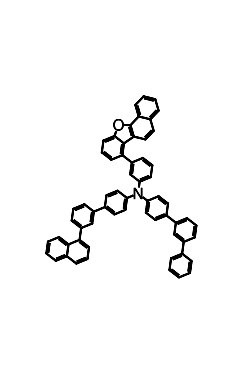 c1ccc(-c2cccc(-c3ccc(N(c4ccc(-c5cccc(-c6cccc7ccccc67)c5)cc4)c4cccc(-c5cccc6oc7c8ccccc8ccc7c56)c4)cc3)c2)cc1